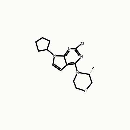 C[C@@H]1COCCN1c1nc(Cl)nc2c1ccn2C1CCCC1